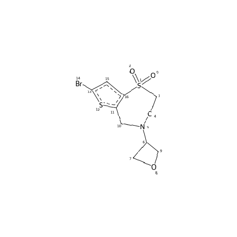 O=S1(=O)CCN(C2COC2)Cc2sc(Br)cc21